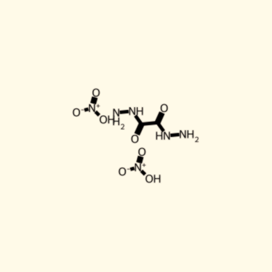 NNC(=O)C(=O)NN.O=[N+]([O-])O.O=[N+]([O-])O